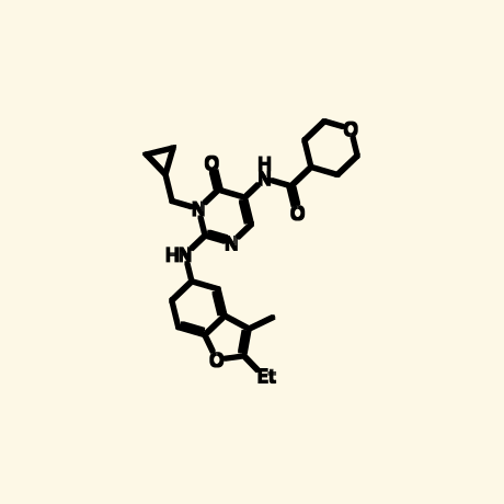 CCc1oc2c(c1C)=CC(Nc1ncc(NC(=O)C3CCOCC3)c(=O)n1CC1CC1)CC=2